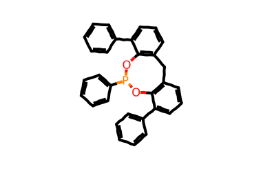 c1ccc(-c2cccc3c2OP(c2ccccc2)Oc2c(cccc2-c2ccccc2)C3)cc1